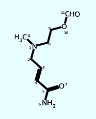 CN(C/C=C/C(N)=O)CCOC=O